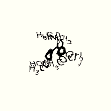 CNC(=O)N1C=C(c2ccc(N3CC[C@](C)(O)C3)cc2)c2cc(OC)c(OC)cc2C[C@H]1C